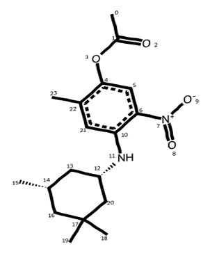 CC(=O)Oc1cc([N+](=O)[O-])c(N[C@H]2C[C@@H](C)CC(C)(C)C2)cc1C